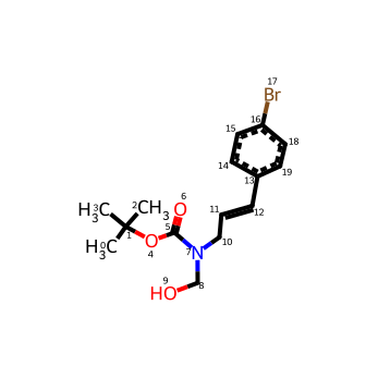 CC(C)(C)OC(=O)N(CO)C/C=C/c1ccc(Br)cc1